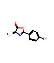 C=C1N=C(c2ccc(C(C)C)cc2)OC1=O